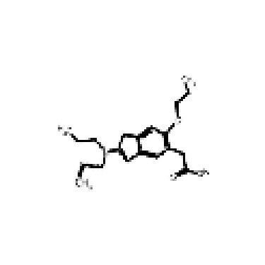 CCCOc1cc2c(cc1CC(=O)O)C=C(N(CCC)CCC)C2